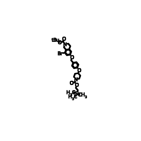 CC(C)(C)OC(=O)N1CCc2cc(OCc3ccc(OC4CCN(C(=O)OCC[Si](C)(C)C)CC4)cc3)cc(Br)c2C1